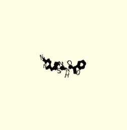 N#Cc1ccc(Cc2cnc(NC(=O)c3coc4ccccc34)s2)cn1